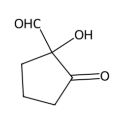 O=CC1(O)CCCC1=O